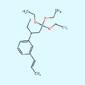 CC=Cc1cccc(C(CI)C[Si](OCC)(OCC)OCC)c1